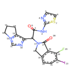 O=C(Nc1nccs1)C(c1ncn2c1CCC2)N1Cc2ccc(I)c(F)c2C1=O